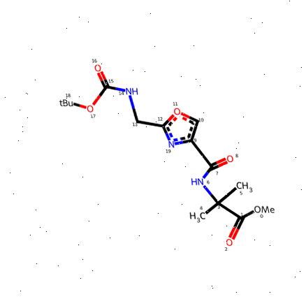 COC(=O)C(C)(C)NC(=O)c1coc(CNC(=O)OC(C)(C)C)n1